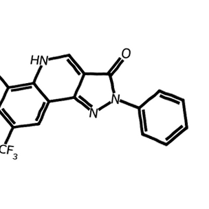 O=c1c2c[nH]c3c(F)cc(C(F)(F)F)cc3c-2nn1-c1ccccc1